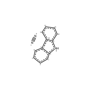 N#N.c1ccc2c(c1)[nH]c1ccccc12